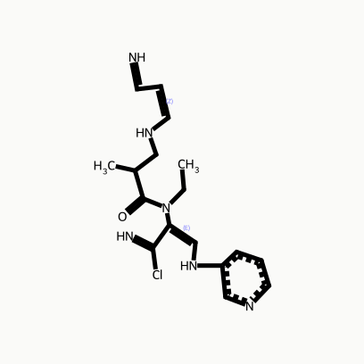 CCN(C(=O)C(C)CN/C=C\C=N)/C(=C/Nc1cccnc1)C(=N)Cl